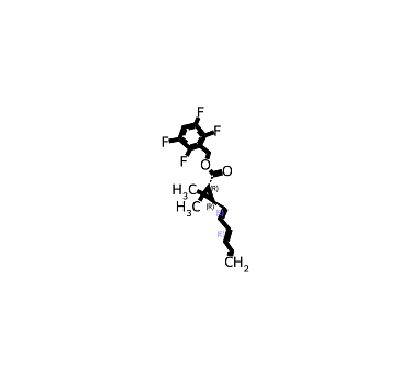 C=C/C=C/C=C/[C@@H]1[C@@H](C(=O)OCc2c(F)c(F)cc(F)c2F)C1(C)C